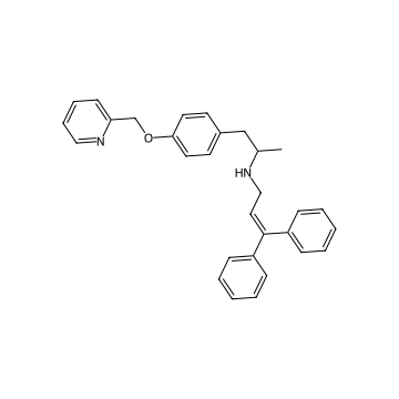 CC(Cc1ccc(OCc2ccccn2)cc1)NCC=C(c1ccccc1)c1ccccc1